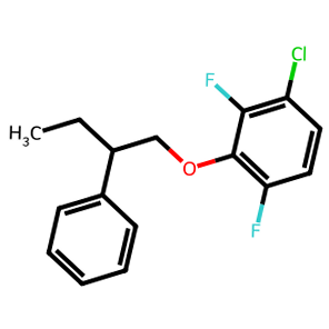 CCC(COc1c(F)ccc(Cl)c1F)c1ccccc1